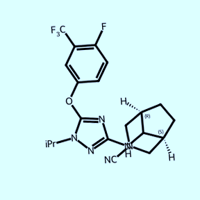 CC(C)n1nc(NC2[C@@H]3CC[C@H]2CN(C#N)C3)nc1Oc1ccc(F)c(C(F)(F)F)c1